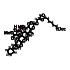 CCCCCCCCCCCCCCCC1OCC(COC(=O)OC2=C(C)[C@@H]3C[C@H]4OC(=O)C(OC(=O)CC5(O)CCCCC5)[C@H]5[C@@]6(C(=O)OC)OC[C@]45[C@H]([C@@H](O)[C@@H]6O)[C@@]3(C)[C@H](O)C2=O)O1